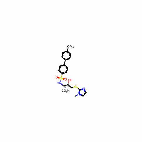 COc1ccc(-c2ccc(S(=O)(=O)N[C@@H](C(=O)O)[C@H](O)CSc3nccn3C)cc2)cc1